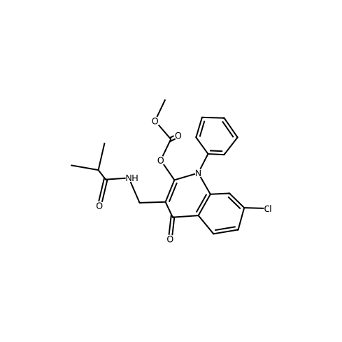 COC(=O)Oc1c(CNC(=O)C(C)C)c(=O)c2ccc(Cl)cc2n1-c1ccccc1